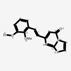 CCOc1cccc(/C=C/c2cc(=O)n3ccsc3n2)c1OC